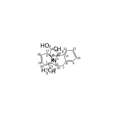 CC[N@@+]1(CCO)[C@H]2Cc3ccccc3[C@]1(C)c1ccccc12